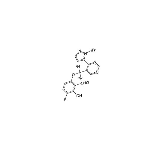 [2H]C([2H])(Oc1ccc(F)c(O)c1C=O)c1cncnc1-c1ccnn1C(C)C